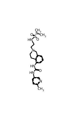 Cc1ccc(NC(=O)Nc2cccc3c2CCN(CCNS(=O)(=O)N(C)C)C3)cn1